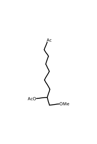 COCC(CCCCCCC(C)=O)OC(C)=O